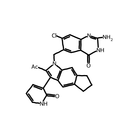 CC(=O)c1c(-c2ccc[nH]c2=O)c2cc3c(cc2n1Cc1cc2c(=O)[nH]c(N)nc2cc1Cl)CCC3